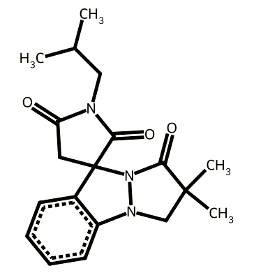 CC(C)CN1C(=O)CC2(C1=O)c1ccccc1N1CC(C)(C)C(=O)N12